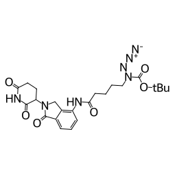 CC(C)(C)OC(=O)N(CCCCC(=O)Nc1cccc2c1CN(C1CCC(=O)NC1=O)C2=O)N=[N+]=[N-]